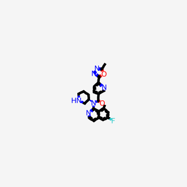 Cc1nnc(-c2ccc(C(=O)N(c3nccc4cc(F)cc(C)c34)[C@@H]3CCCNC3)cn2)o1